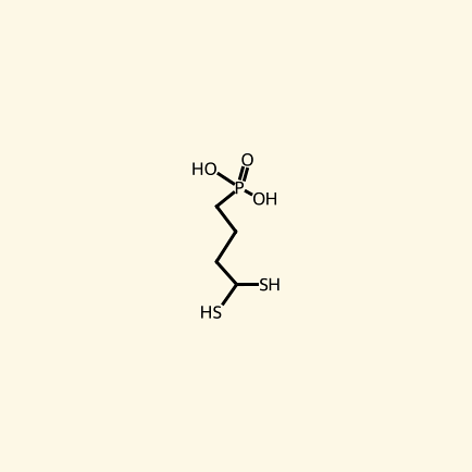 O=P(O)(O)CCCC(S)S